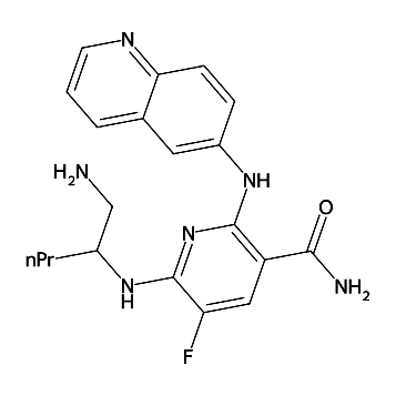 CCCC(CN)Nc1nc(Nc2ccc3ncccc3c2)c(C(N)=O)cc1F